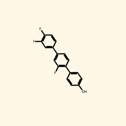 Oc1ccc(-c2ccc(-c3ccc(F)c(F)c3)cc2F)cc1